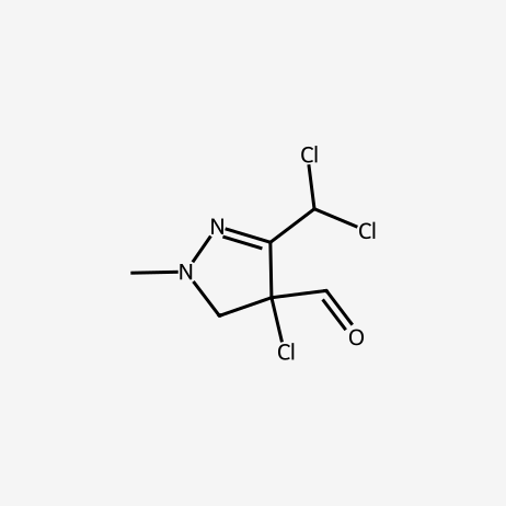 CN1CC(Cl)(C=O)C(C(Cl)Cl)=N1